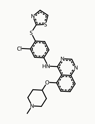 CN1CCC(Oc2cccc3ncnc(Nc4ccc(Sc5nccs5)c(Cl)c4)c23)CC1